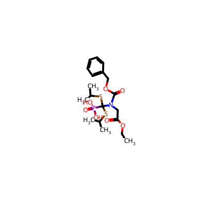 CCOC(=O)CN(C(=O)OCc1ccccc1)C(SC(C)C)(SC(C)C)P(=O)(O)O